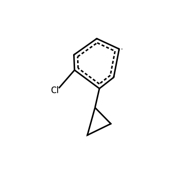 Clc1cc[c]cc1C1CC1